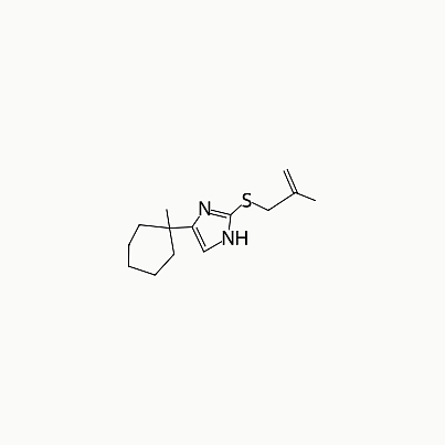 C=C(C)CSc1nc(C2(C)CCCCC2)c[nH]1